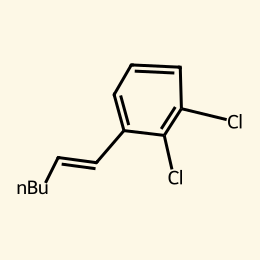 CCCCC=Cc1cccc(Cl)c1Cl